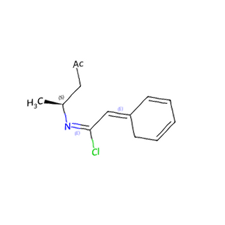 CC(=O)C[C@H](C)/N=C(Cl)\C=C1\C=CC=CC1